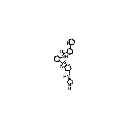 O=C(Nc1ccccc1-c1nc2cc(CN[C@H]3CCNC3)cnc2s1)c1cccc(-c2ccccn2)c1